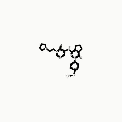 O=c1c(Nc2nn(-c3ccc(OC(F)(F)F)cc3)c(=O)c3c2CCC3)cncn1CCN1CCCC1